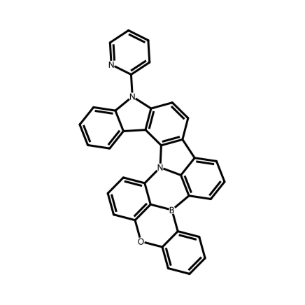 c1ccc(-n2c3ccccc3c3c2ccc2c4cccc5c4n(c23)-c2cccc3c2B5c2ccccc2O3)nc1